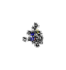 c1ccc(-c2ccc(N(c3ccc4c(c3)C3(c5ccccc5-c5ccccc53)c3ccccc3-4)c3ccc4c5c6c(sc7ccc(-c8ccccc8)cc76)c(-c6ccc7ccccc7c6)cc5n(-c5ccccc5)c4c3)cc2)cc1